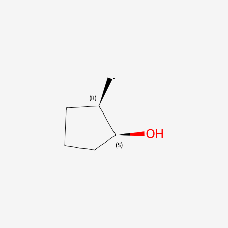 [CH2][C@@H]1CCC[C@@H]1O